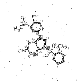 Cc1ccccc1S(=O)(=O)n1cc(-c2ncc(F)c([S+](C)[O-])n2)c2cc(Cl)cnc21